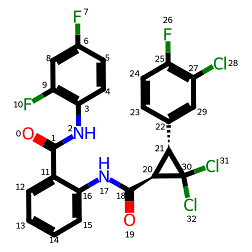 O=C(Nc1ccc(F)cc1F)c1ccccc1NC(=O)[C@H]1[C@H](c2ccc(F)c(Cl)c2)C1(Cl)Cl